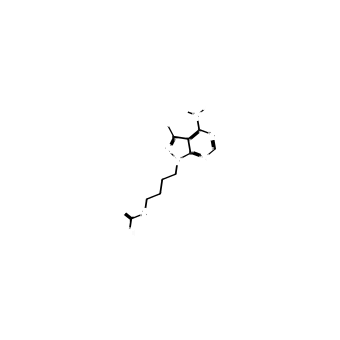 CN(C)c1ncnc2c1c(I)nn2CCCCNC(=O)O